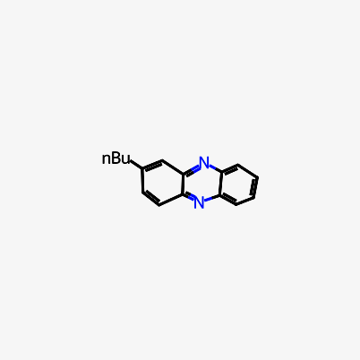 CCCCc1ccc2nc3ccccc3nc2c1